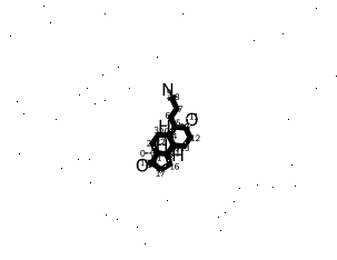 C[C@]12CC[C@@H]3C(CCC#N)C(=O)CC[C@H]3[C@@H]1CCC2=O